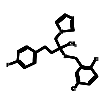 CC(CCc1ccc(F)cc1)(Cn1ccnc1)SCc1cc(Cl)ccc1Cl